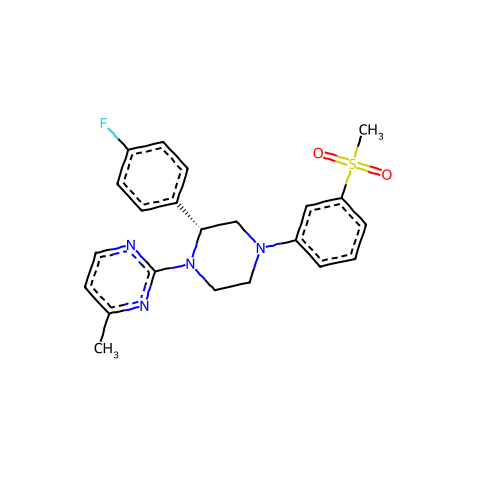 Cc1ccnc(N2CCN(c3cccc(S(C)(=O)=O)c3)C[C@H]2c2ccc(F)cc2)n1